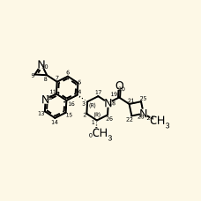 C[C@@H]1C[C@H](c2ccc(C3C=N3)c3ncccc23)CN(C(=O)C2CN(C)C2)C1